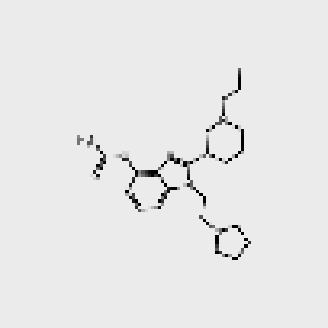 CCCN1CCCC(c2nc3c(OC(N)=O)cccc3n2CCN2CCCC2)C1